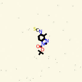 Cc1c(N=C=S)ccc2c1ncn2C(=O)OC(C)(C)C